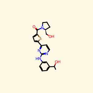 CC(O)c1cccc(Nc2nccc(-c3ccc(C(=O)N4CCC[C@H]4CO)s3)n2)c1